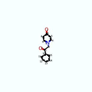 O=C(Cn1ccc(=O)cc1)c1ccccc1